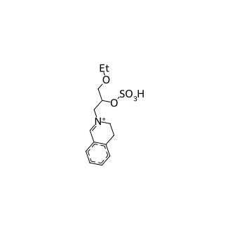 CCOCC(C[N+]1=Cc2ccccc2CC1)OS(=O)(=O)O